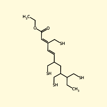 CCOC(=O)C=C(C=CC(CS)CC(CS)C(CC)CS)CS